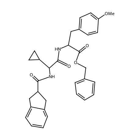 COc1ccc(CC(NC(=O)C(NC(=O)C2Cc3ccccc3C2)C2CC2)C(=O)OCc2ccccc2)cc1